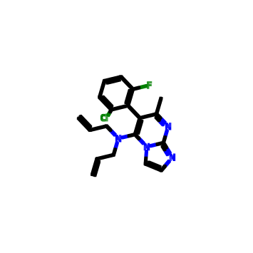 C=CCN(CC=C)c1c(-c2c(F)cccc2Cl)c(C)nc2nccn12